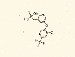 O=P(O)(O)Cc1cccc(Oc2ccc(C(F)(F)F)cc2Cl)c1